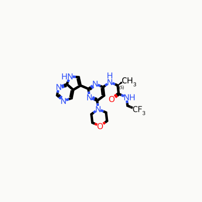 C[C@H](Nc1cc(N2CCOCC2)nc(-c2c[nH]c3ncncc23)n1)C(=O)NCC(F)(F)F